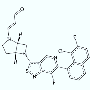 O=CC=CN1CC[C@@H]2[C@H]1CN2c1snc2c(F)c(-c3cccc4ccc(F)c(Cl)c34)ncc12